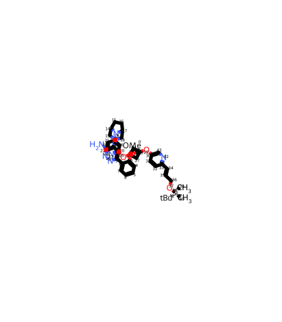 COCOc1ccccc1-c1cc(N2CC3CCC(C2)N3c2ccnc(OC3CC(Oc4ccc(C=CCO[Si](C)(C)C(C)(C)C)nc4)C3)c2)c(N)nn1